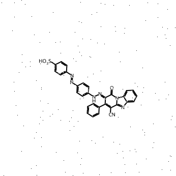 N#CC1=C(c2ccccc2)/C(=N\Nc2ccc(N=Nc3ccc(S(=O)(=O)O)cc3)cc2)C(=O)n2c1nc1ccccc12